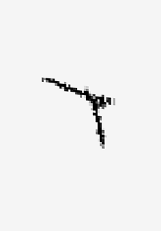 CCCCCCCCCCCCCCCC(=O)OC[C@H](COP(=O)(O)O)OC(=O)CCCCCCCCCCCCC